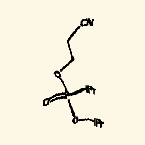 CC(C)OP(=O)(OCCC#N)C(C)C